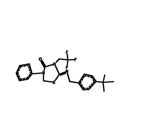 CC(C)(C)c1ccc(C/N=C2\SCN(c3ccccc3)C(=O)N2CC(F)(F)F)cc1